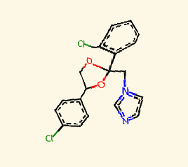 Clc1ccc(C2COC(Cn3ccnc3)(c3ccccc3Cl)O2)cc1